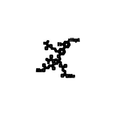 C=C(C)C(=O)OCCCc1cc(-c2ccc(CCCCCCC)cc2CC)ccc1OCC(COC(=O)CCC(=O)OC)(COC(=O)CCC(=O)OC)COC(=O)C(=C)C